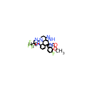 CCc1cccc(CC)c1C1c2c(n[nH]c2-c2cc3ccc(F)c(OC)c3n2C=O)CCN1c1ncc(C(F)(F)F)cn1